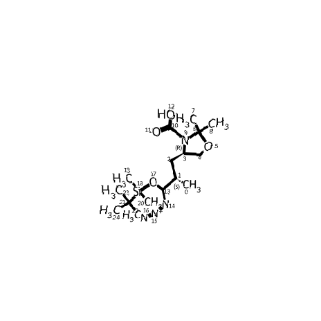 C[C@@H](C[C@@H]1COC(C)(C)N1C(=O)O)C(N=[N+]=[N-])O[Si](C)(C)C(C)(C)C